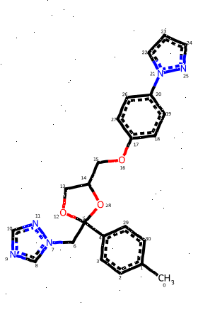 Cc1ccc(C2(Cn3cncn3)OCC(COc3ccc(-n4cccn4)cc3)O2)cc1